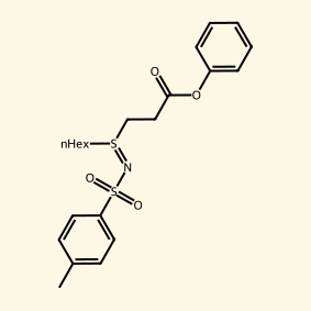 CCCCCCS(CCC(=O)Oc1ccccc1)=NS(=O)(=O)c1ccc(C)cc1